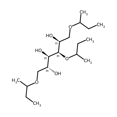 CCC(C)OC[C@@H](O)[C@@H](O)[C@H](OC(C)CC)[C@@H](O)COC(C)CC